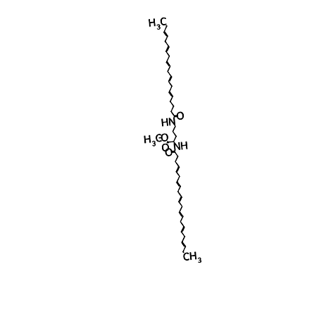 CCC=CCC=CCC=CCC=CCC=CCC=CCCC(=O)NC(CCCNC(=O)CCCC=CCC=CCC=CCC=CCC=CCC)C(=O)OC